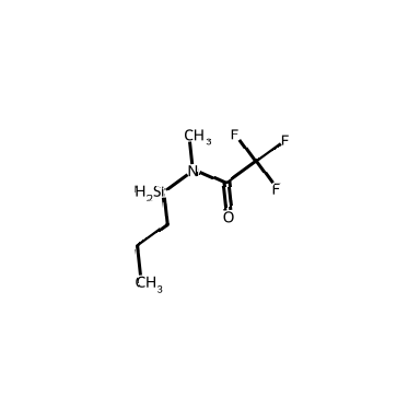 CCC[SiH2]N(C)C(=O)C(F)(F)F